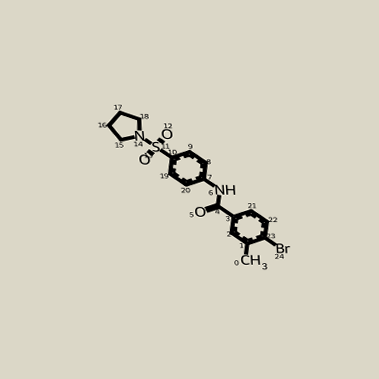 Cc1cc(C(=O)Nc2ccc(S(=O)(=O)N3CCCC3)cc2)ccc1Br